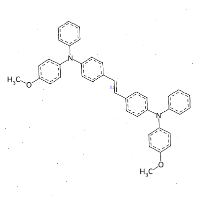 COc1ccc(N(c2ccccc2)c2ccc(/C=C/c3ccc(N(c4ccccc4)c4ccc(OC)cc4)cc3)cc2)cc1